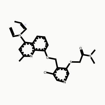 C=CN(/C=C\C)c1cc(C)nc2c(OCc3c(Cl)cncc3SCC(=O)N(C)C)cccc12